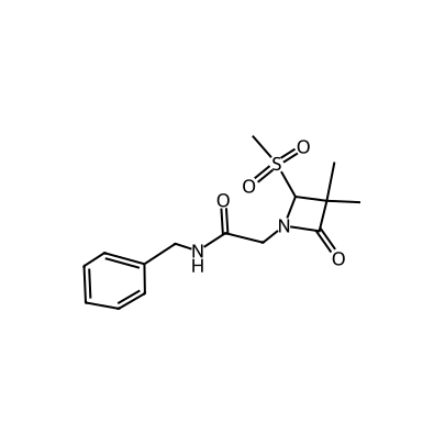 CC1(C)C(=O)N(CC(=O)NCc2ccccc2)C1S(C)(=O)=O